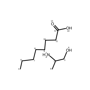 CC(N)CO.CCCCCCCC(=O)O